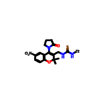 CCNC(=S)NCC1=C(N2CCCC2=O)c2cc([N+](=O)[O-])ccc2OC1(C)C